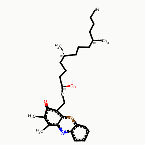 Cc1c2nc3ccccc3sc-2c(CC[C@H](O)CCC[C@H](C)CCC[C@H](C)CCCC(C)C)c(=O)c1C